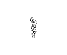 CC(C)[C@@H](NC(=O)c1cccc(-c2ccccc2N)c1)C(=O)N1CC[C@H](c2ccc(Cl)cc2)C(C)(C)C1